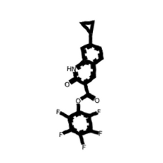 O=C(Oc1c(F)c(F)c(F)c(F)c1F)c1cc2ccc(C3CC3)cc2[nH]c1=O